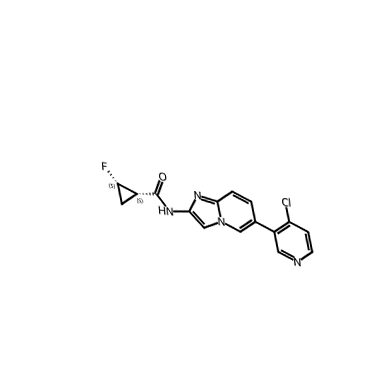 O=C(Nc1cn2cc(-c3cnccc3Cl)ccc2n1)[C@@H]1C[C@@H]1F